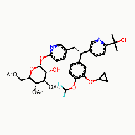 CC(=O)OC[C@H]1O[C@@H](Oc2ccc(C[C@H](c3ccc(C(C)(C)O)nc3)c3ccc(OC(F)F)c(OC4CC4)c3)cn2)[C@H](O)[C@@H](OC(C)=O)[C@@H]1OC(C)=O